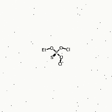 CCOP(=S)(OCl)OCl